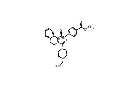 COC(=O)c1ccc(NC(=O)[C@@H]2c3ccccc3CCN2C(=O)[C@H]2CC[C@H](CN)CC2)cc1